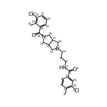 Cc1ccc(C(=O)NCCCN2CC3CN(C(=O)c4cccc(Cl)c4C)CC3C2)cc1Cl